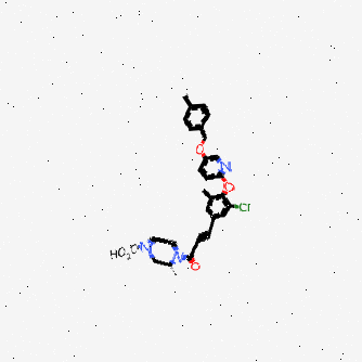 Cc1ccc(COc2ccc(Oc3c(C)cc(C=CC(=O)N4CCN(C(=O)O)C[C@H]4C)cc3Cl)nc2)cc1